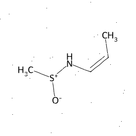 C/C=C\N[S+](C)[O-]